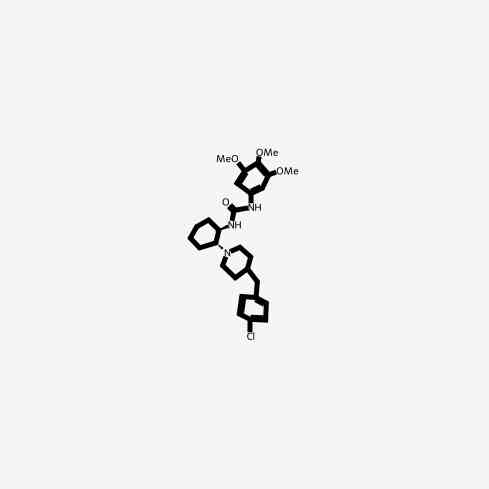 COc1cc(NC(=O)N[C@@H]2CCCC[C@H]2N2CCC(Cc3ccc(Cl)cc3)CC2)cc(OC)c1OC